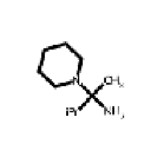 CC(C)C(C)(N)N1CCCCC1